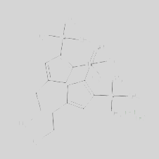 CCCC1=CC([Si](C)(C)C)=[C]([Ti]([CH3])([CH3])(=[SiH2])[C]2=C([Si](C)(C)C)C=C(CCC)C2)C1.Cl.Cl